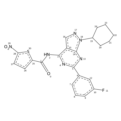 O=C(Nc1nc(-c2cccc(F)c2)nc2c1cnn2C1CCCCC1)c1ccc([N+](=O)[O-])s1